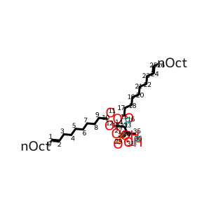 CCCCCCCCC=CCCCCCCCC(=O)OC(OC(=O)CCCCCCCC=CCCCCCCCC)(OP(=O)(O)O)C(F)CCF